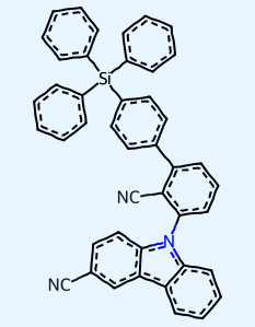 N#Cc1ccc2c(c1)c1ccccc1n2-c1cccc(-c2ccc([Si](c3ccccc3)(c3ccccc3)c3ccccc3)cc2)c1C#N